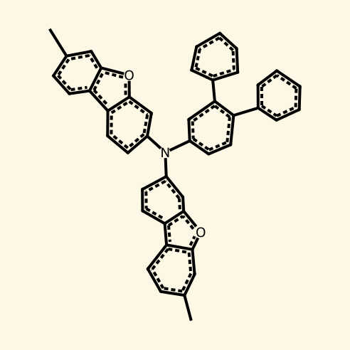 Cc1ccc2c(c1)oc1cc(N(c3ccc(-c4ccccc4)c(-c4ccccc4)c3)c3ccc4c(c3)oc3cc(C)ccc34)ccc12